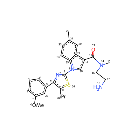 COc1cccc(-c2nc(-n3cc(C(=O)N(C)CCN)c4cc(C)ccc43)sc2C(C)C)c1